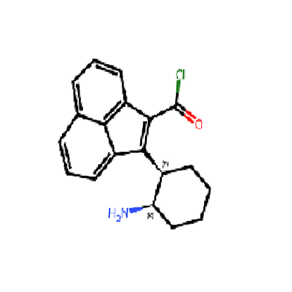 N[C@@H]1CCCC[C@@H]1C1=C(C(=O)Cl)c2cccc3cccc1c23